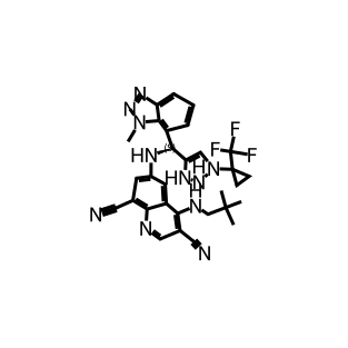 Cn1nnc2cccc([C@H](Nc3cc(C#N)c4ncc(C#N)c(NCC(C)(C)C)c4c3)C3=CN(C4(C(F)(F)F)CC4)NN3)c21